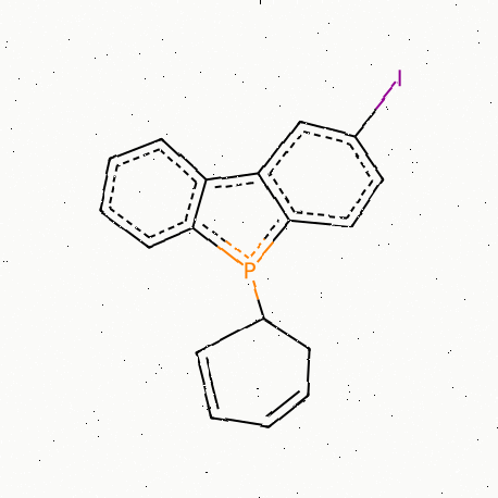 Ic1ccc2c(c1)c1ccccc1p2C1C=CC=CC1